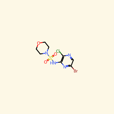 O=S(=O)(Nc1nc(Br)cnc1Cl)N1CCOCC1